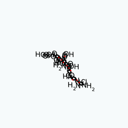 Nc1cc(N)c(/N=N/c2ccc(NS(=O)(=O)c3ccc(/N=N/c4c(S(=O)(=O)O)cc5cc(SOOO)c(/N=N/c6ccc(S(=O)(=O)CCOSOOO)cc6S(=O)(=O)O)c(O)c5c4N)cc3)cc2)cc1Cl